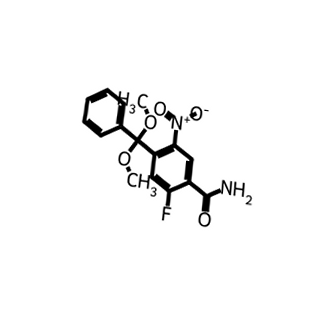 COC(OC)(c1ccccc1)c1cc(F)c(C(N)=O)cc1[N+](=O)[O-]